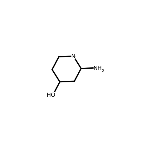 NC1CC(O)CC[N]1